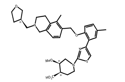 CO[C@H]1CN(c2nc(-c3cc(C)ccc3OCc3ccc4c(c3C)CCN(C[C@H]3CCOC3)C4)cs2)CC[C@H]1C(=O)O